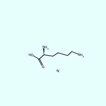 NCCCC[C@H](N)C(=O)O.[N]